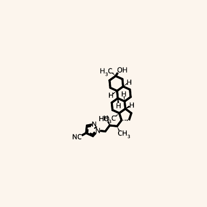 C[C@H]([C@H](O)Cn1cc(C#N)cn1)[C@H]1CC[C@H]2[C@@H]3CC[C@@H]4C[C@](C)(O)CC[C@@H]4[C@H]3CC[C@]12C